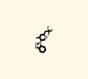 Cc1cc(CC(F)(F)F)ncc1-n1nnc2ccccc21